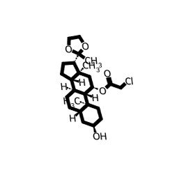 CC1([C@H]2CC[C@H]3[C@@H]4CC[C@H]5C[C@H](O)CC[C@]5(C)[C@H]4[C@@H](OC(=O)CCl)C[C@]23C)OCCO1